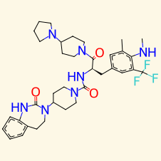 CNc1c(C)cc(C[C@@H](NC(=O)N2CCC(N3CCc4ccccc4NC3=O)CC2)C(=O)N2CCC(N3CCCC3)CC2)cc1C(F)(F)F